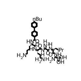 CCCCc1ccc(-c2ccc(C(=O)N[C@@H](CCCCN)C(=O)N[C@@H](CCCN)C(=O)N[C@@H](N)C(=O)N[C@@H](CC(C)C)C(=O)N[C@@H](N)B(O)O)cc2)cc1